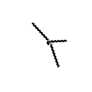 CCCCCCCCCCCCCCCCn1cc[n+](CCCCCCCCCCCCCCCC)c1CCCCCCCCCC